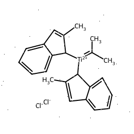 CC1=Cc2ccccc2[CH]1[Ti+2](=[C](C)C)[CH]1C(C)=Cc2ccccc21.[Cl-].[Cl-]